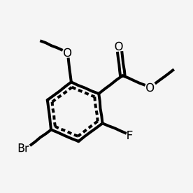 COC(=O)c1c(F)cc(Br)cc1OC